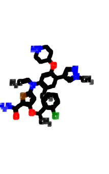 C=CN(C1=C(C)CC(c2cnn(C)c2)C(OC2CCNCC2)=C1)c1cc(O[C@H](C)c2ccccc2Cl)c(C(N)=O)s1